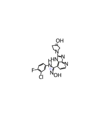 O/N=C(/Nc1ccc(F)c(Cl)c1)c1ccnc2nc(N3CC[C@H](O)C3)[nH]c12